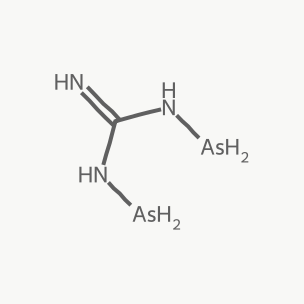 N=C(N[AsH2])N[AsH2]